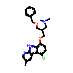 Cc1cnc2[nH]c3c(OCC(COCc4ccccc4)CN(C)C)ccc(Cl)c3c2c1